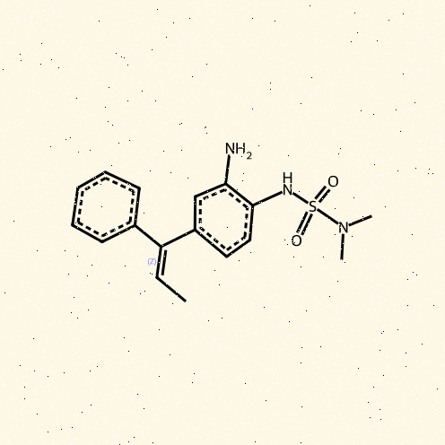 C/C=C(/c1ccccc1)c1ccc(NS(=O)(=O)N(C)C)c(N)c1